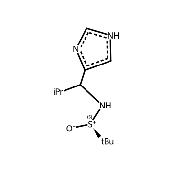 CC(C)C(N[S@+]([O-])C(C)(C)C)c1c[nH]cn1